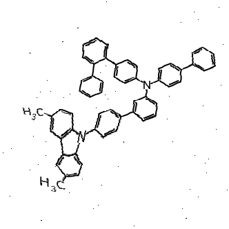 Cc1ccc2c(c1)c1cc(C)ccc1n2-c1ccc(-c2cccc(N(c3ccc(-c4ccccc4)cc3)c3ccc(-c4ccccc4-c4ccccc4)cc3)c2)cc1